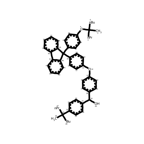 CCCCC(C)(CCC)Oc1ccc(C2(c3ccc(Oc4ccc(C(O)c5ccc(C(C)(CCC)C(C)CC)cc5)cc4)cc3)c3ccccc3-c3ccccc32)cc1